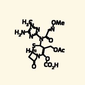 CON=CC(=O)N(c1nc(N)n(C)n1)C1S[C@H]2CC(=O)N2C(OC(=O)O)=C1COC(C)=O